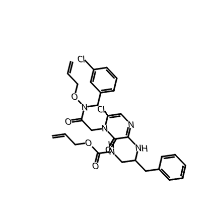 C=CCOC(=O)NCC(Cc1ccccc1)Nc1ncc(Cl)n(CC(=O)N(Cc2cccc(Cl)c2)OCC=C)c1=O